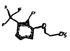 CCOc1cccc(C(F)(F)F)c1Cl